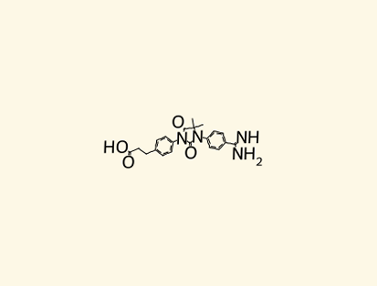 CC1(C)C(=O)N(c2ccc(CCC(=O)O)cc2)C(=O)N1c1ccc(C(=N)N)cc1